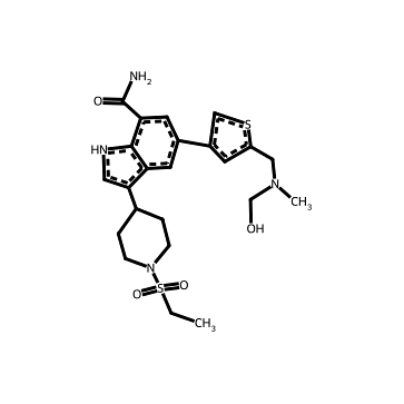 CCS(=O)(=O)N1CCC(c2c[nH]c3c(C(N)=O)cc(-c4csc(CN(C)CO)c4)cc23)CC1